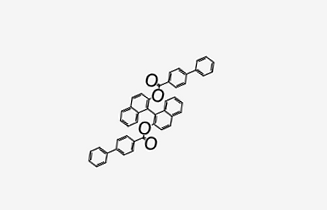 O=C(Oc1ccc2ccccc2c1-c1c(OC(=O)c2ccc(-c3ccccc3)cc2)ccc2ccccc12)c1ccc(-c2ccccc2)cc1